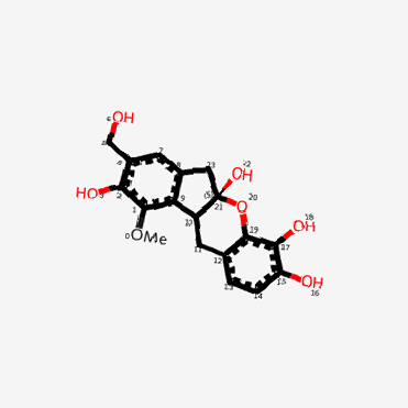 COc1c(O)c(CO)cc2c1C1Cc3ccc(O)c(O)c3O[C@@]1(O)C2